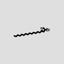 CCCCCCCCCCCCCCC1=CC(Br)CS1